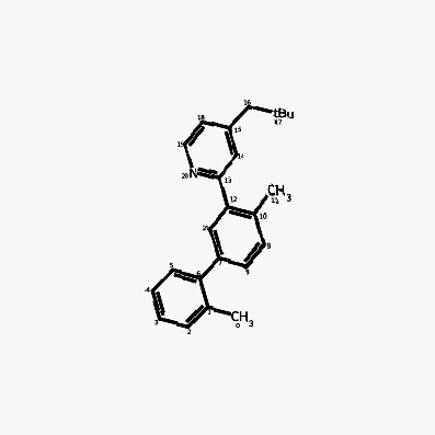 Cc1ccccc1-c1ccc(C)c(-c2cc(CC(C)(C)C)ccn2)c1